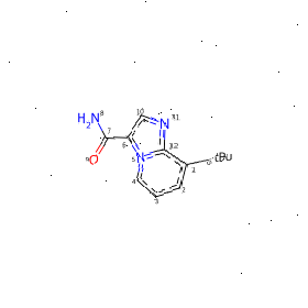 CC(C)(C)c1cccn2c(C(N)=O)cnc12